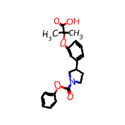 CC(C)(Oc1cccc(C2CCN(C(=O)Oc3ccccc3)C2)c1)C(=O)O